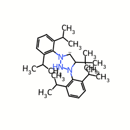 CC(C)c1cccc(C(C)C)c1N1[C]C(C(C)(C)C)N(c2c(C(C)C)cccc2C(C)C)N1